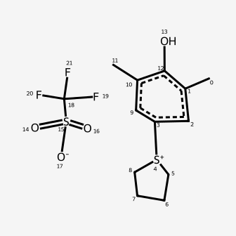 Cc1cc([S+]2CCCC2)cc(C)c1O.O=S(=O)([O-])C(F)(F)F